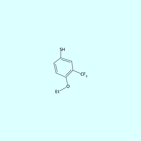 CCOc1ccc(S)cc1C(F)(F)F